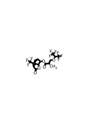 CC(COC(C(F)(F)F)C(F)(F)F)C(=O)OC1C2CC3C1OC(=O)C3C2C(F)(F)F